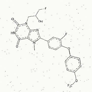 Cn1c(-c2ccc(Oc3ccc(OC(F)(F)F)cc3)c(F)c2)nc2c1c(=O)[nH]c(=O)n2CC(O)CF